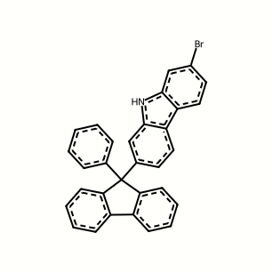 Brc1ccc2c(c1)[nH]c1cc(C3(c4ccccc4)c4ccccc4-c4ccccc43)ccc12